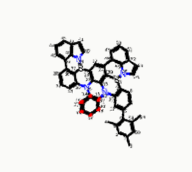 Cc1cc(C)c(-c2ccc3c(c2)N(c2ccccc2)c2c4c(cc5c2N(c2ccccc2)c2cccc6c2B5n2ccc5cccc-6c52)-c2cccc5ccn(c25)B34)c(C)c1